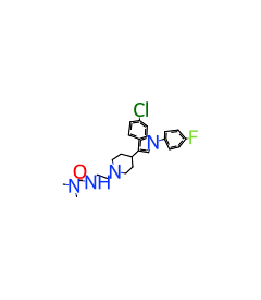 CN(C)C(=O)NCCN1CCC(c2cn(-c3ccc(F)cc3)c3cc(Cl)ccc23)CC1